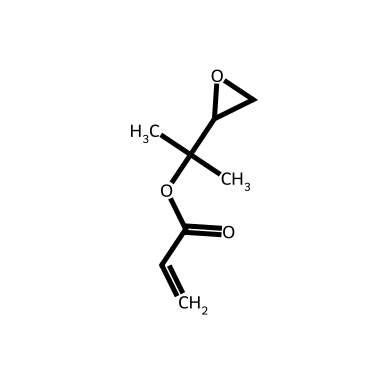 C=CC(=O)OC(C)(C)C1CO1